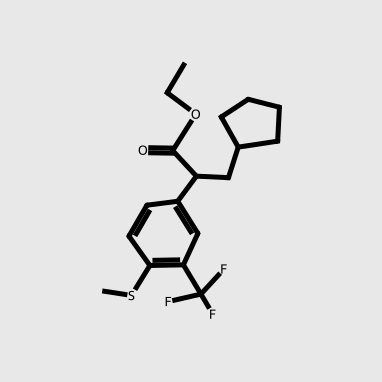 CCOC(=O)C(CC1CCCC1)c1ccc(SC)c(C(F)(F)F)c1